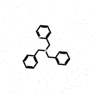 c1ccc(CN(Cc2ccccc2)Cc2ccccn2)cc1